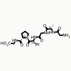 CC(C)[C@H](NC(=O)CNC(=O)[C@H](C)NC(=O)CN)C(=O)N1CCC[C@H]1C(=O)NCC(=O)O